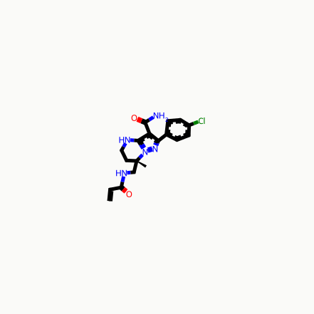 C=CC(=O)NC[C@]1(C)CCNc2c(C(N)=O)c(-c3ccc(Cl)cc3)nn21